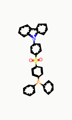 O=S(=O)(C1=C=C=C(P(c2ccccc2)c2ccccc2)C=C1)c1ccc(-n2c3ccccc3c3ccccc32)cc1